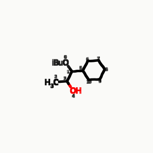 CC(C)COC(C(C)O)C1CCCCC1